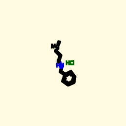 Cl.[CH3][Mg][CH2]CCNCc1ccccc1